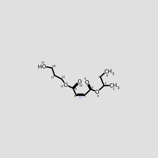 CCC(C)OC(=O)/C=C\C(=O)OCCCO